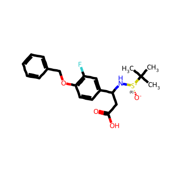 CC(C)(C)[S@+]([O-])NC(CC(=O)O)c1ccc(OCc2ccccc2)c(F)c1